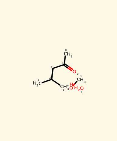 CC(=O)CC(C)C.CO.O